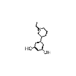 CCN1CCCC(c2cc(O)cc(O)c2)C1